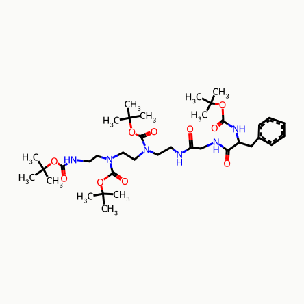 CC(C)(C)OC(=O)NCCN(CCN(CCNC(=O)CNC(=O)C(Cc1ccccc1)NC(=O)OC(C)(C)C)C(=O)OC(C)(C)C)C(=O)OC(C)(C)C